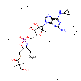 CCOC(=O)CCNP(=O)(OCCSC(=O)C(C)(C)CO)OC[C@H]1OC2(C)[C@@H](n3cnc4c(NC5CC5)nc(N)nc43)C2(O)C1O